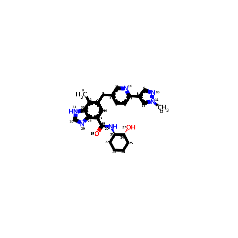 Cc1c(Cc2ccc(-c3cnn(C)c3)nc2)cc(C(=O)N[C@@H]2CCCC[C@H]2O)c2nc[nH]c12